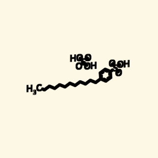 CCCCCCCCCCCCc1ccc(S(=O)(=O)O)cc1.O=S(=O)(O)O